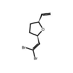 C=C[C@@H]1CC[C@H](C=C(Br)Br)O1